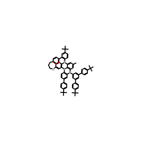 Cc1cc2c3c(c1)N(c1ccc(C(C)(C)C)cc1-c1ccccc1)c1cc4c(cc1B3c1ccc(-c3ccc(C(C)(C)C)cc3)cc1N2c1cc(-c2ccc(C(C)(C)C)cc2)cc(-c2ccc(C(C)(C)C)cc2)c1)OCCCO4